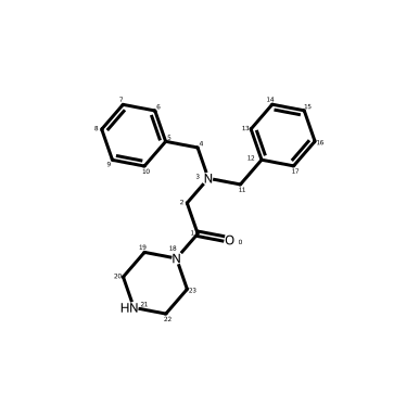 O=C(CN(Cc1ccccc1)Cc1ccccc1)N1CCNCC1